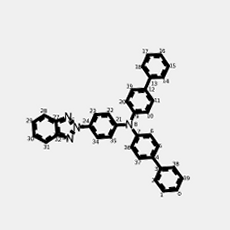 c1ccc(-c2ccc(N(c3ccc(-c4ccccc4)cc3)c3ccc(-n4nc5ccccc5n4)cc3)cc2)cc1